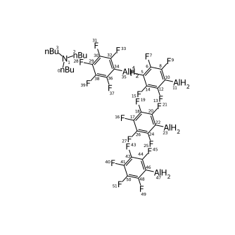 CCCCN(CCCC)CCCC.Fc1c(F)c(F)[c]([AlH2])c(F)c1F.Fc1c(F)c(F)[c]([AlH2])c(F)c1F.Fc1c(F)c(F)[c]([AlH2])c(F)c1F.Fc1c(F)c(F)[c]([AlH2])c(F)c1F